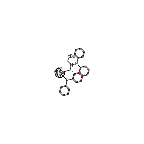 C[C@@H](N(CC(C)(C)C)P(c1ccccc1)c1ccccc1)[C@@]12[CH]3[CH]4[CH]5[C]1(P(c1ccccc1)c1ccccc1)[Fe]45321678[CH]2[CH]1[CH]6[CH]7[CH]28